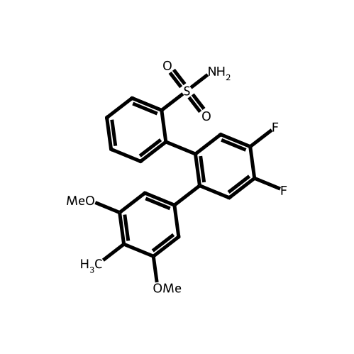 COc1cc(-c2cc(F)c(F)cc2-c2ccccc2S(N)(=O)=O)cc(OC)c1C